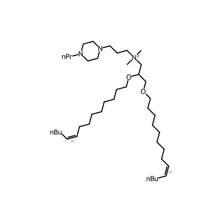 CCCC/C=C\CCCCCCCCOCC(C[N+](C)(C)CCCN1CCN(CCC)CC1)OCCCCCCCC/C=C\CCCC